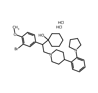 COc1ccc(C(CN2CCC(c3ccccc3N3CCCC3)CC2)C2(O)CCCCC2)cc1Br.Cl.Cl